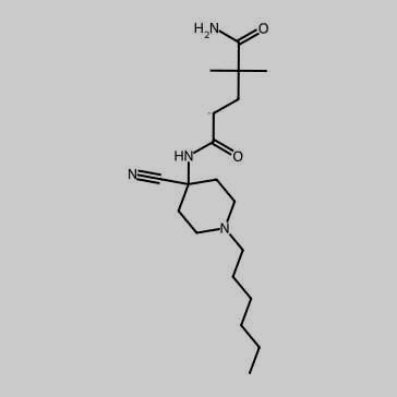 CCCCCCN1CCC(C#N)(NC(=O)[CH]CC(C)(C)C(N)=O)CC1